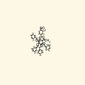 C[C@H](OC(=O)c1ccc([N+](=O)[O-])cc1)[C@H]1O[C@H](OCc2ccccc2)[C@@H](OCc2ccccc2)[C@@H](OCc2ccccc2)[C@@H]1OCc1ccccc1